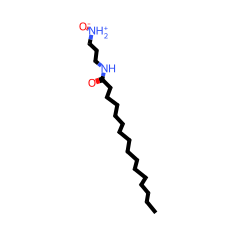 CCCCCCCCCCCCCCCC(=O)NCCC[NH2+][O-]